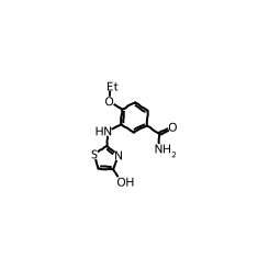 CCOc1ccc(C(N)=O)cc1Nc1nc(O)cs1